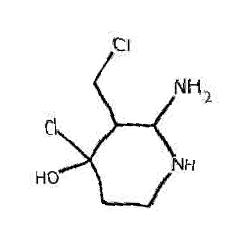 NC1NCCC(O)(Cl)C1CCl